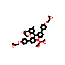 Cc1cc(C)c(OCC2CO2)c(C(c2cc(-c3ccc(OCC4CO4)cc3)ccc2OCC2CO2)c2cc(-c3ccc(OCC4CO4)cc3)ccc2OCC2CO2)c1